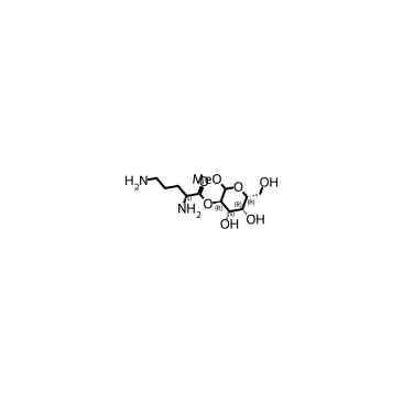 COC1O[C@H](CO)[C@H](O)[C@H](O)[C@H]1OC(=O)[C@@H](N)CCCN